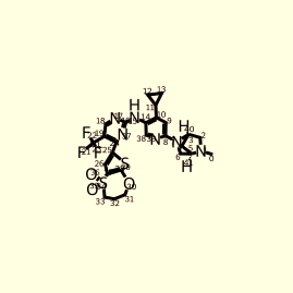 CN1C[C@H]2C[C@@H]1CN2c1cc(C2CC2)c(Nc2ncc(C(F)(F)F)c(-c3cc4c(s3)OCCCS4(=O)=O)n2)cn1